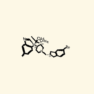 CO[C@@H]1CN(C[C@H]2Cc3ccc(Br)cc3C2)CC[C@H]1[N+]1(C(C)(C)O)C=Nc2cc(C)ccc21